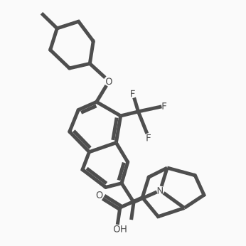 CC1CCC(Oc2ccc3ccc(C(C)N4C5CCC4CC(C(=O)O)C5)cc3c2C(F)(F)F)CC1